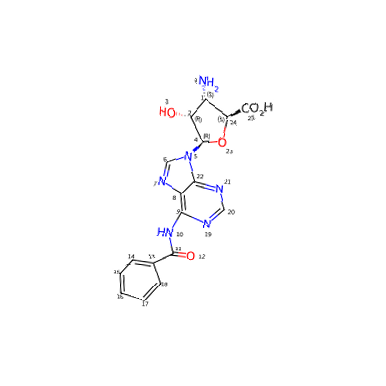 N[C@H]1[C@@H](O)[C@H](n2cnc3c(NC(=O)c4ccccc4)ncnc32)O[C@@H]1C(=O)O